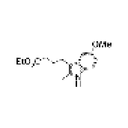 CCOC(=O)CCCc1c(C)[nH]c2ccc(OC)cc12